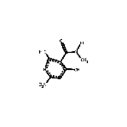 CCN(C)C(=O)c1c(C)cc([N+](=O)[O-])nc1C